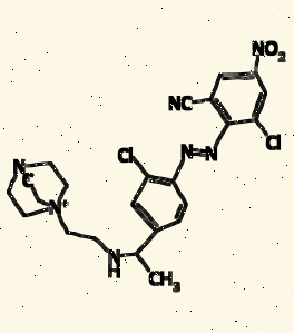 CC(NCC[N+]12CCN(CC1)CC2)c1ccc(N=Nc2c(Cl)cc([N+](=O)[O-])cc2C#N)c(Cl)c1